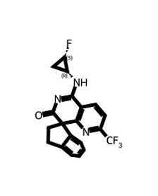 O=C1N=C(N[C@@H]2C[C@@H]2F)c2ccc(C(F)(F)F)nc2C12CCc1ccccc12